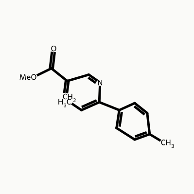 C=C(/C=N\C(=C/C)c1ccc(C)cc1)C(=O)OC